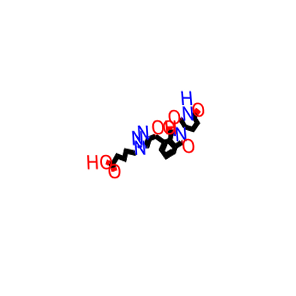 O=C(O)CCCCn1cc(C(O)c2cccc3c2C(=O)N(C2CCC(=O)NC2=O)C3=O)nn1